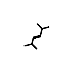 [CH2]C(C)C=CC(C)C